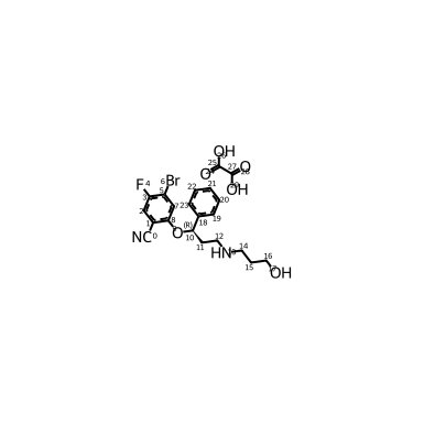 N#Cc1cc(F)c(Br)cc1O[C@H](CCNCCCO)c1ccccc1.O=C(O)C(=O)O